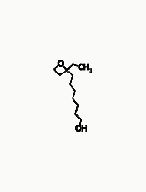 CCC1(CCCCCCCO)CCO1